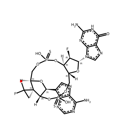 Nc1nc2c(ncn2[C@@H]2O[C@@H]3COP(O)(=S)O[C@H]4[C@H](c5cnc6c(N)ncnn56)O[C@H](COP(O)(=S)O[C@H]3[C@H]2F)[C@@]42CC2(F)F)c(=O)[nH]1